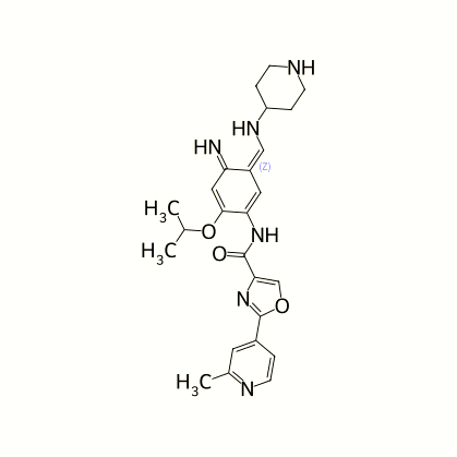 Cc1cc(-c2nc(C(=O)NC3=C/C(=C/NC4CCNCC4)C(=N)C=C3OC(C)C)co2)ccn1